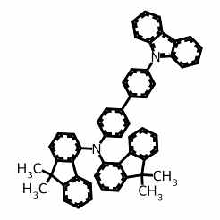 CC1(C)c2ccccc2-c2c(N(c3ccc(-c4ccc(-n5c6ccccc6c6ccccc65)cc4)cc3)c3cccc4c3-c3ccccc3C4(C)C)cccc21